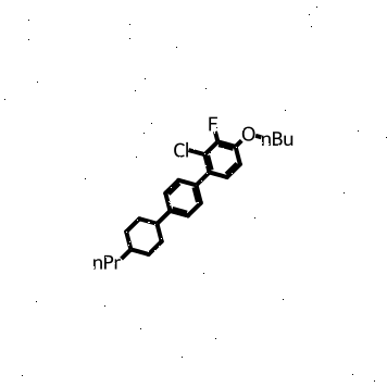 CCCCOc1ccc(-c2ccc(C3CCC(CCC)CC3)cc2)c(Cl)c1F